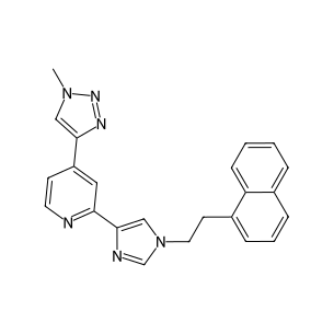 Cn1cc(-c2ccnc(-c3cn(CCc4cccc5ccccc45)cn3)c2)nn1